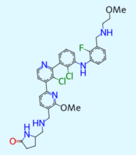 COCCNCc1cccc(Nc2cccc(-c3nccc(-c4ccc(CNCC5CCC(=O)N5)c(OC)n4)c3Cl)c2Cl)c1F